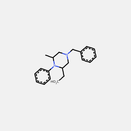 CC1CN(Cc2ccccc2)CC(CC(=O)O)N1c1ccccc1